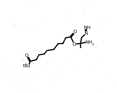 CC(N)(CN=N)OC(=O)CCCCCCCCC(=O)C(C)(C)C